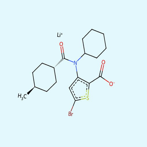 C[C@H]1CC[C@H](C(=O)N(c2cc(Br)sc2C(=O)[O-])C2CCCCC2)CC1.[Li+]